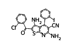 N#Cc1c(N)nc2sc(C(=O)c3ccccc3Cl)c(N)c2c1-c1ccccc1I